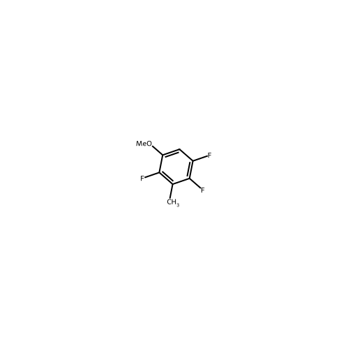 COc1cc(F)c(F)c(C)c1F